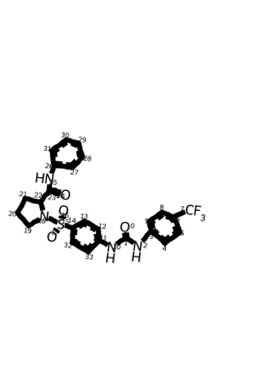 O=C(Nc1ccc(C(F)(F)F)cc1)Nc1ccc(S(=O)(=O)N2CCCC2C(=O)Nc2ccccc2)cc1